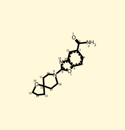 NC(=O)c1ccc2oc(N3CCC4(CCCO4)CC3)nc2c1